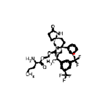 CCCC(N)C(=O)OCOC(=O)N1C[C@@]2(CCC(=O)N2)CC[C@@]1(CO[C@H](C)c1cc(C(F)(F)F)cc(C(F)(F)F)c1)c1ccccc1